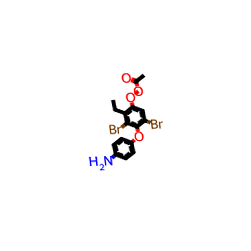 CCc1c(OOC(C)=O)cc(Br)c(Oc2ccc(N)cc2)c1Br